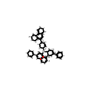 c1ccc(-c2cccc(N(c3ccc(-c4cc5ccccc5c5ccccc45)cc3)c3ccc(-c4ccccc4)cc3-c3ccccc3)c2)cc1